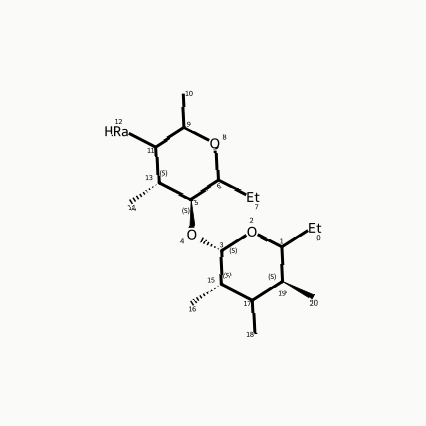 CCC1O[C@@H](O[C@@H]2C(CC)OC(C)[CH]([RaH])[C@H]2C)[C@@H](C)C(C)[C@@H]1C